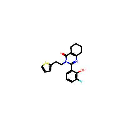 O=c1c2c(nc(-c3cccc(F)c3O)n1CCc1cccs1)CCCC2